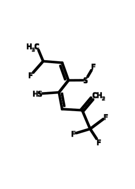 C=C(/C=C(S)\C(=C/C(C)F)SF)C(F)(F)F